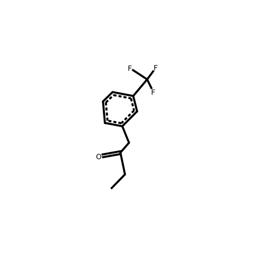 CCC(=O)Cc1cccc(C(F)(F)F)c1